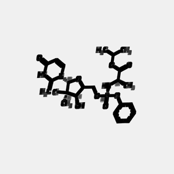 C=C1NC(=O)C=CN1[C@@H]1OC(CO[P@](=O)(N[C@H](C)C(=O)OC(C)C)Oc2ccccc2)[C@@H](O)[C@@]1(C)Cl